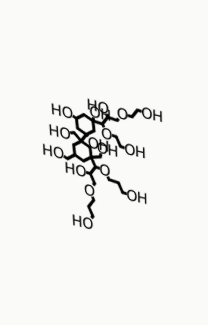 OCCCOCC(O)C(OCCCO)C1(CO)CC(CO)CC(CO)(C2(O)CC(O)CC(O)(C(OCCO)C(O)COCCO)C2)C1